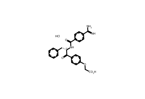 Cl.N=C(N)c1ccc(C(=O)N[C@@H](Cc2ccccc2)C(=O)c2ccc(OCC(=O)O)cc2)cc1